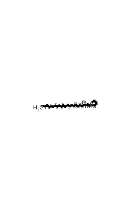 CCC=CCC=CCC=CCC=CCC=CCC=CCCC(=O)NCCN1CCCCC1